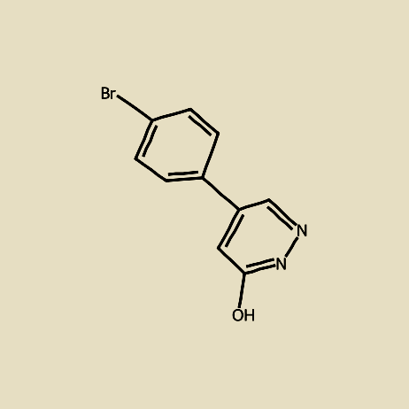 Oc1cc(-c2ccc(Br)cc2)cnn1